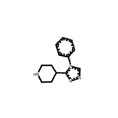 c1ccc(-n2cnnc2C2CCNCC2)cc1